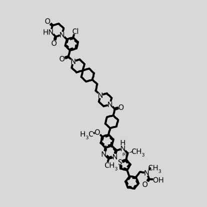 COc1cc2nc(C)nc(N[C@H](C)c3cc(-c4ccccc4CN(C)C(=O)O)cs3)c2cc1C1CCC(C(=O)N2CCN(CCC3CCC4(CC3)CCN(C(=O)c3ccc(Cl)c(N5CCC(=O)NC5=O)c3)CC4)CC2)CC1